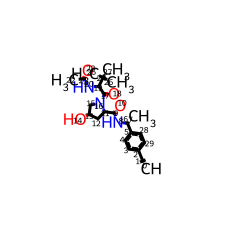 C#Cc1ccc(C(C)NC(=O)C2CC(O)CN2C(=O)C(NC(C)=O)C(C)(C)C)cc1